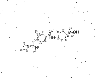 C=N/C(=C\c1ncc(C(=O)N[C@H]2CC[C@H](C(C)(C)O)CC2)cc1C)N1CCC1